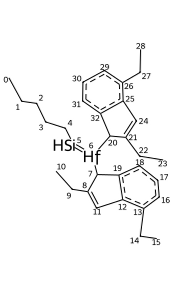 CCCCC[SiH]=[Hf]([CH]1C(CC)=Cc2c(CC)cccc21)[CH]1C(CC)=Cc2c(CC)cccc21